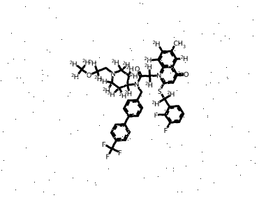 [2H]c1c(C)c([2H])c2c(=O)cc(SC([2H])([2H])c3cccc(F)c3F)n(C([2H])([2H])C(=O)N(Cc3ccc(-c4ccc(C(F)(F)F)cc4)cc3)C3([2H])C([2H])([2H])C([2H])([2H])N(CC([2H])([2H])OC([2H])([2H])[2H])C([2H])([2H])C3([2H])[2H])c2c1[2H]